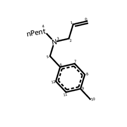 C=CCN(CCCCC)Cc1ccc(C)cc1